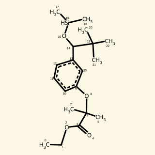 CCOC(=O)C(C)(C)Oc1cccc(C(O[SiH](C)C)C(C)(C)C)c1